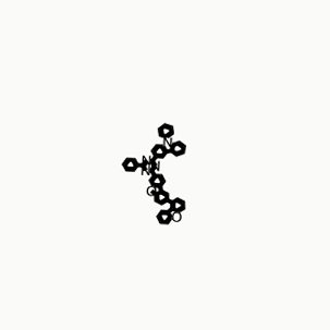 C1=CC2c3cc(-c4nc(-c5ccccc5)nc(-c5ccc6c(c5)oc5ccc(-c7cccc8oc9ccccc9c78)cc56)n4)ccc3N(c3ccccc3)C2C=C1